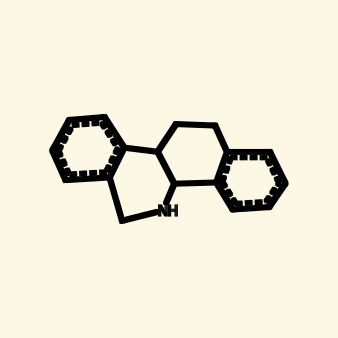 c1ccc2c(c1)CNC1c3ccccc3CCC21